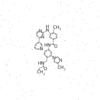 C=CC(=O)NCc1ccc(NC(=O)c2ccc(C)c(Nc3nccc(-c4cccnc4)n3)c2)cc1-n1cnc(C)c1